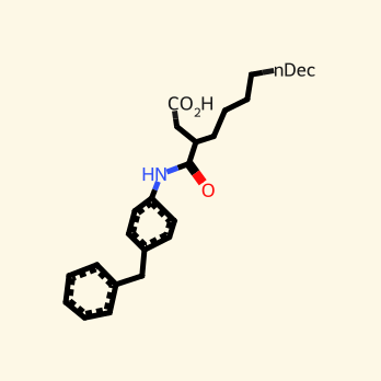 CCCCCCCCCCCCCCC(CC(=O)O)C(=O)Nc1ccc(Cc2ccccc2)cc1